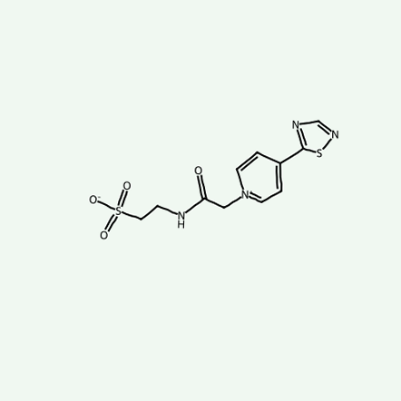 O=C(C[n+]1ccc(-c2ncns2)cc1)NCCS(=O)(=O)[O-]